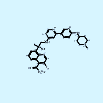 CC[C@@](C)(CNc1cc(-c2ccc(NC3CCN(C)CC3)nc2)ncn1)c1cccc2c(C(=O)NC)c(F)cnc12